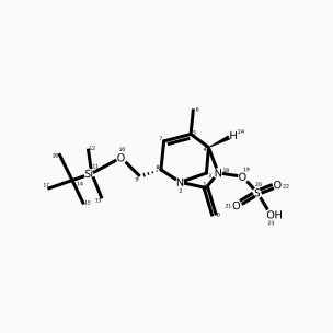 C=C1N2C[C@H](C(C)=C[C@H]2CO[Si](C)(C)C(C)(C)C)N1OS(=O)(=O)O